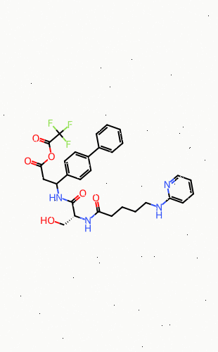 O=C(CCCCNc1ccccn1)N[C@H](CO)C(=O)NC(CC(=O)OC(=O)C(F)(F)F)c1ccc(-c2ccccc2)cc1